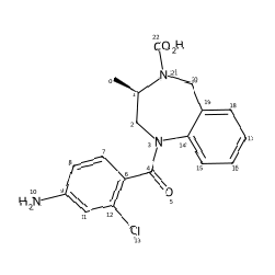 C[C@@H]1CN(C(=O)c2ccc(N)cc2Cl)c2ccccc2CN1C(=O)O